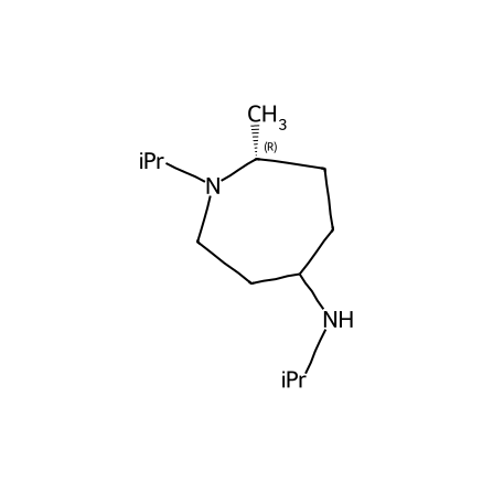 CC(C)NC1CC[C@@H](C)N(C(C)C)CC1